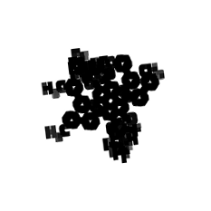 Cc1cccc(-c2cccc(Oc3cc4c5c(cc(Oc6cccc(-c7cccc(C)c7)c6)c6c7c(Oc8cccc(-c9cccc(C)c9)c8)cc8c9c(cc(Oc%10cccc(-c%11cccc(C)c%11)c%10)c(c3c56)c97)C(=O)N(C(C(=O)NC(C(F)(F)F)C(F)(F)F)C(F)(F)F)C8=O)C(=O)N(C(C(=O)NC(C(F)(F)F)C(F)(F)F)C(F)(F)F)C4=O)c2)c1